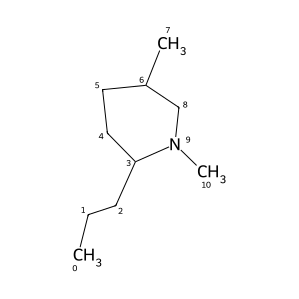 CCCC1CCC(C)CN1C